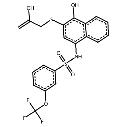 C=C(O)CSc1cc(NS(=O)(=O)c2cccc(OC(F)(F)F)c2)c2ccccc2c1O